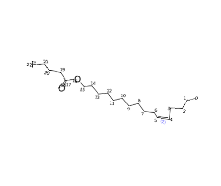 CCCC/C=C\CCCCCCCCCCOC(=O)CCCF